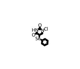 O=c1[nH]c(=O)n(Cl)cc1[Se]c1ccccc1